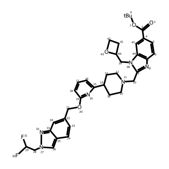 CC(C)(C)OC(=O)c1ccc2nc(CN3CCC(c4cccc(OCc5ccc6cn(CC(F)F)nc6c5)n4)CC3)n(CC3CCO3)c2c1